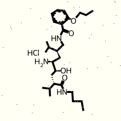 CCCCNC(=O)[C@@H](C[C@H](O)[C@@H](N)C[C@H](CNC(=O)c1ccccc1OCCC)C(C)C)C(C)C.Cl